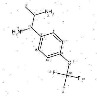 CC(N)[C@@H](N)c1ccc(OC(F)(F)F)cc1